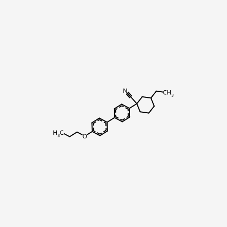 CCCOc1ccc(-c2ccc(C3(C#N)CCCC(CC)C3)cc2)cc1